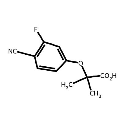 CC(C)(Oc1ccc(C#N)c(F)c1)C(=O)O